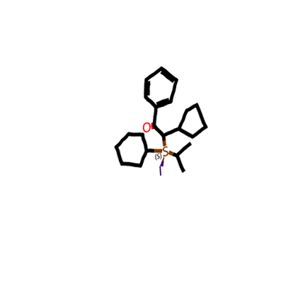 CC(C)[S@](I)(C1CCCCC1)C(C(=O)c1ccccc1)C1CCCC1